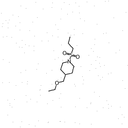 CCCS(=O)(=O)N1CCC(COCC)CC1